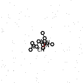 N#Cc1cc(-c2cccc3c2c2ccccc2n3-c2cc(-c3ccccc3)ccc2-c2nc(-c3ccccc3)nc(-c3ccccc3)n2)c2c3ccccc3n(-c3ccccc3)c2c1